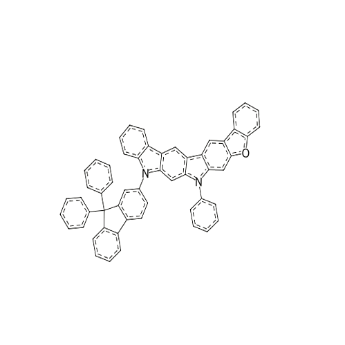 c1ccc(-n2c3cc4oc5ccccc5c4cc3c3cc4c5ccccc5n(-c5ccc6c(c5)C(c5ccccc5)(c5ccccc5)c5ccccc5-6)c4cc32)cc1